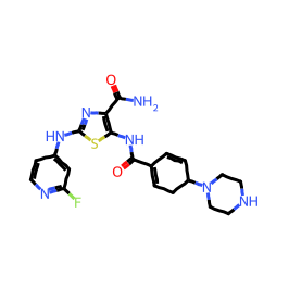 NC(=O)c1nc(Nc2ccnc(F)c2)sc1NC(=O)C1=CCC(N2CCNCC2)C=C1